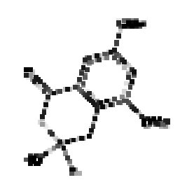 CCC1(O)CC(=O)c2cc(OC)cc(OC)c2C1